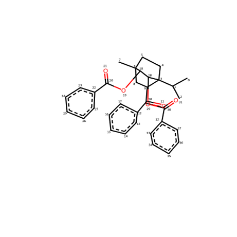 CC(C)C12CCC(C)(CC1C(=O)c1ccccc1)C(OC(=O)c1ccccc1)C2OC(=O)c1ccccc1